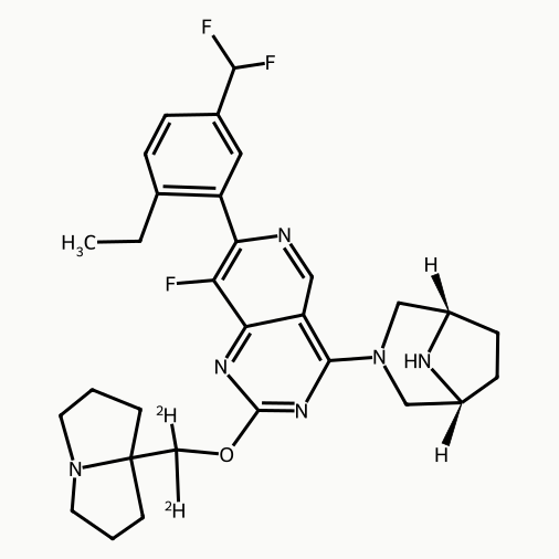 [2H]C([2H])(Oc1nc(N2C[C@H]3CC[C@@H](C2)N3)c2cnc(-c3cc(C(F)F)ccc3CC)c(F)c2n1)C12CCCN1CCC2